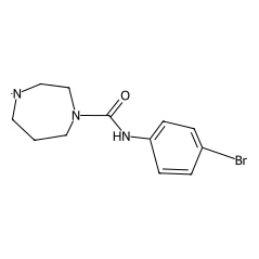 O=C(Nc1ccc(Br)cc1)N1CCC[N]CC1